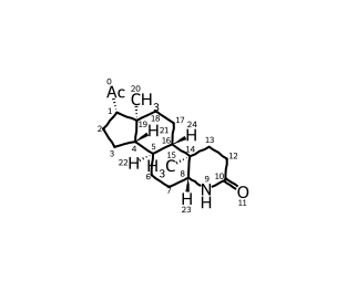 CC(=O)[C@H]1CC[C@H]2[C@@H]3CC[C@H]4NC(=O)CC[C@]4(C)[C@H]3CC[C@]12C